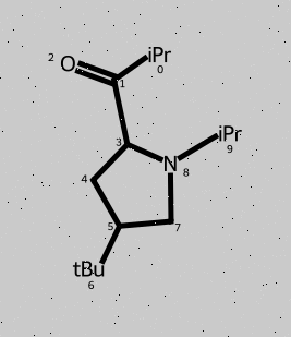 CC(C)C(=O)C1CC(C(C)(C)C)CN1C(C)C